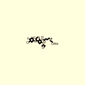 COCCN(C)C/C=C/C(=O)Nc1c(O[C@H]2CCOC2)ccc2c(Nc3ccc(F)c(Cl)c3)c(C#N)cnc12